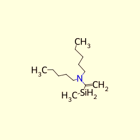 C=C([SiH2]C)N(CCCCC)CCCCC